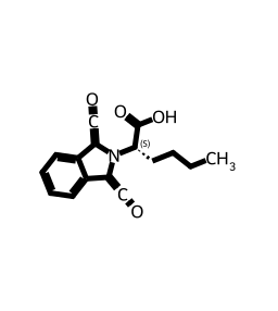 CCCC[C@@H](C(=O)O)n1c(=C=O)c2ccccc2c1=C=O